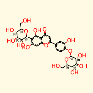 O=c1cc(-c2ccc(O[C@@H]3O[C@H](CO)[C@@H](O)[C@H](O)[C@H]3O)c(O)c2)oc2cc(O)c([C@@H]3O[C@H](CO)[C@@H](O)[C@H](O)[C@H]3O)c(O)c12